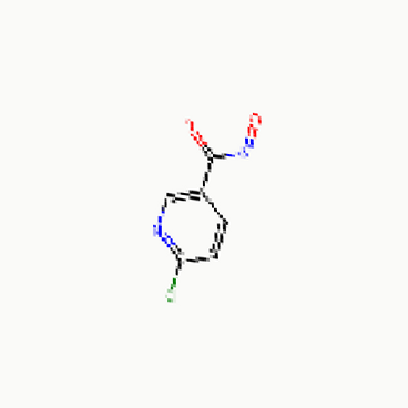 O=NC(=O)c1ccc(Cl)nc1